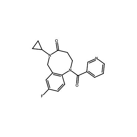 O=C(c1cccnc1)N1CCC(=O)N(C2CC2)Cc2cc(F)ccc21